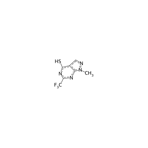 Cn1ncc2c(S)nc(C(F)(F)F)nc21